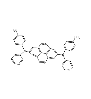 Cc1ccc(N(c2ccccc2)c2cc3cnc4cc(N(c5ccccc5)c5ccc(C)cc5)cc5ncc(c2)c3c45)cc1